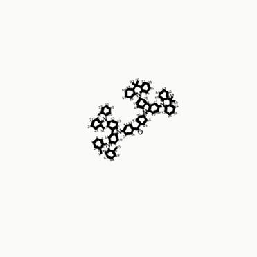 Cc1ccccc1N(c1ccc2c(c1)c1cc(N(c3ccccc3C)c3ccccc3C)ccc1n2-c1ccc(C(=O)c2ccc(-n3c4ccc(N5c6ccccc6C(C)(C)c6ccccc65)cc4c4cc(N5c6ccccc6C(C)(C)c6ccccc65)ccc43)cc2)cc1)c1ccccc1C